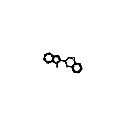 c1ccc2c(c1)OCC(c1cc3cccnc3[nH]1)O2